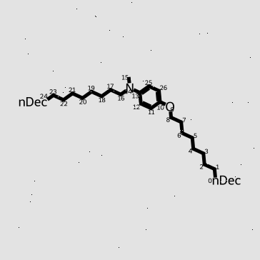 CCCCCCCCCCCCCCCCCCOc1ccc(N(C)CCCCCCCCCCCCCCCCCC)cc1